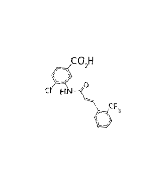 O=C(/C=C/c1ccccc1C(F)(F)F)Nc1cc(C(=O)O)ccc1Cl